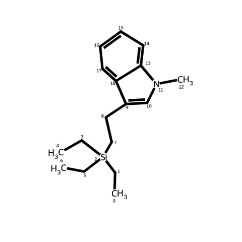 CC[Si](CC)(CC)CCc1cn(C)c2ccccc12